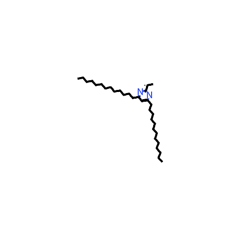 C[CH]c1nc(CCCCCCCCCCCCC)cc(CCCCCCCCCCCCC)n1